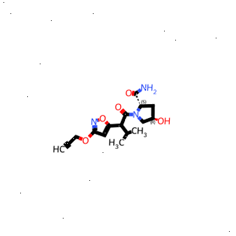 C#CCOc1cc(C(C(=O)N2C[C@H](O)C[C@H]2C(N)=O)C(C)C)on1